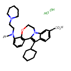 CC(C)N(CCN1CCCCC1)c1cccc2c1OCCn1c-2c(C2CCCCC2)c2ccc(C(=O)O)cc21.Cl.Cl